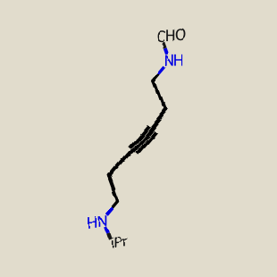 CC(C)NCCC#CCCNC=O